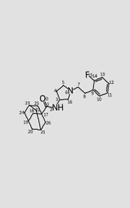 O=C(NC1CCN(CCc2ccccc2F)C1)C12CC3CC(CC(C3)C1)C2